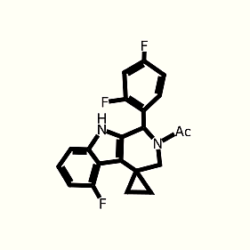 CC(=O)N1CC2(CC2)c2c([nH]c3cccc(F)c23)C1c1ccc(F)cc1F